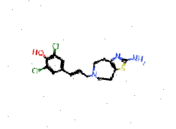 Nc1nc2c(s1)CCN(CC=Cc1cc(Cl)c(O)c(Cl)c1)CC2